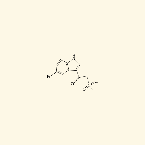 CC(C)c1ccc2[nH]cc(C(=O)CS(C)(=O)=O)c2c1